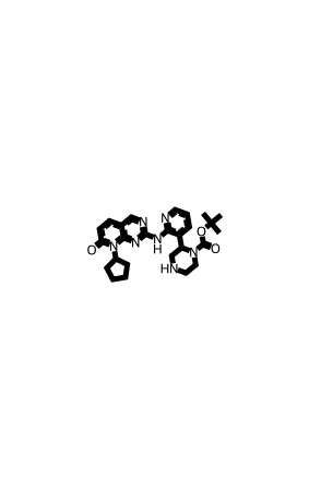 CC(C)(C)OC(=O)N1CCNCC1c1cccnc1Nc1ncc2ccc(=O)n(C3CCCC3)c2n1